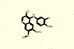 CCOc1cc2ncc(C#N)c(Nc3ccc(OC)c(Cl)c3)c2cc1NC(C)=O